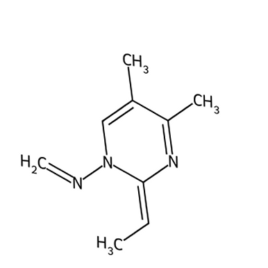 C=NN1C=C(C)C(C)=N/C1=C/C